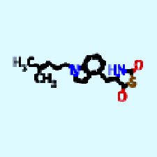 CC(C)=CCCn1ccc2c(C=C3NC(=O)SC3=O)cccc21